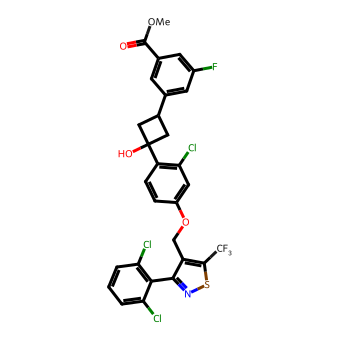 COC(=O)c1cc(F)cc(C2CC(O)(c3ccc(OCc4c(-c5c(Cl)cccc5Cl)nsc4C(F)(F)F)cc3Cl)C2)c1